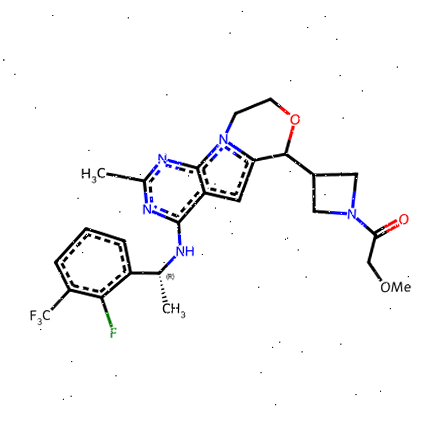 COCC(=O)N1CC(C2OCCn3c2cc2c(N[C@H](C)c4cccc(C(F)(F)F)c4F)nc(C)nc23)C1